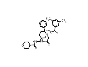 C[C@@H](OC[C@@]1(c2ccccc2)CC[C@]2(CNC(=O)N3CCOCC3)CN1CC(=O)N2)c1cc(C(F)(F)F)cc(C(F)(F)F)c1